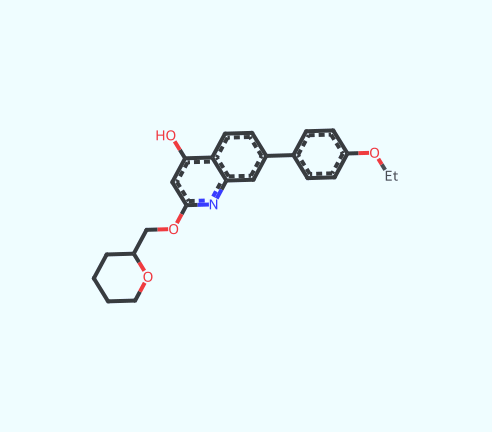 CCOc1ccc(-c2ccc3c(O)cc(OCC4CCCCO4)nc3c2)cc1